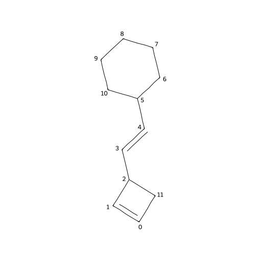 C1=CC(C=CC2CCCCC2)C1